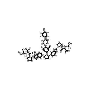 COC(=O)N[C@H](C(=O)N1CCC[C@H]1c1nc2cc([C@H]3CC[C@H](c4ccc5[nH]c([C@@H]6CCCN6C(=O)[C@@H](NC(=O)OC)C(C)C)nc5c4)N3c3cc(F)c(N4CCC(c5ccc(F)cc5)CC4)c(F)c3)ccc2[nH]1)C(C)C